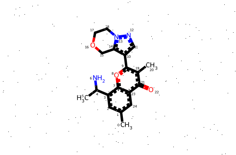 Cc1cc(C(C)N)c2oc(-c3cnn4c3COCC4)c(C)c(=O)c2c1